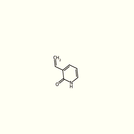 C=Cc1ccc[nH]c1=O